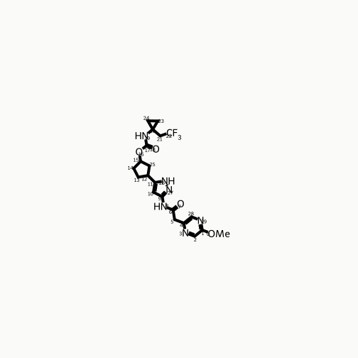 COc1cnc(CC(=O)Nc2cc(C3CCC(OC(=O)NC4(CC(F)(F)F)CC4)C3)[nH]n2)cn1